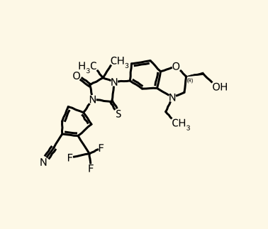 CCN1C[C@H](CO)Oc2ccc(N3C(=S)N(c4ccc(C#N)c(C(F)(F)F)c4)C(=O)C3(C)C)cc21